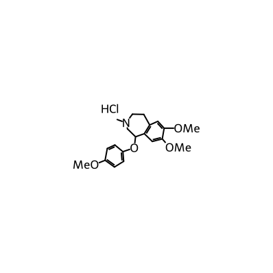 COc1ccc(OC2CN(C)CCc3cc(OC)c(OC)cc32)cc1.Cl